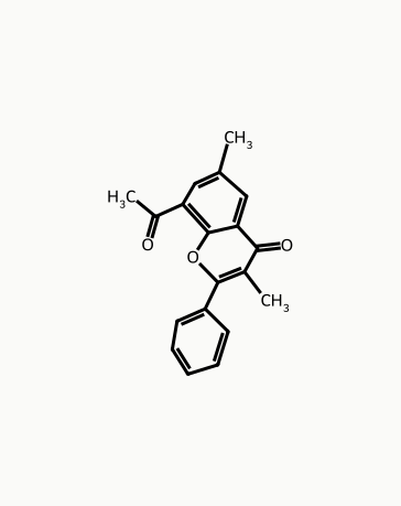 CC(=O)c1cc(C)cc2c(=O)c(C)c(-c3ccccc3)oc12